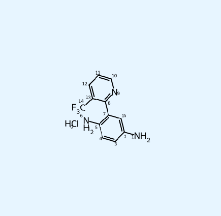 Cl.Nc1ccc(N)c(-c2ncccc2C(F)(F)F)c1